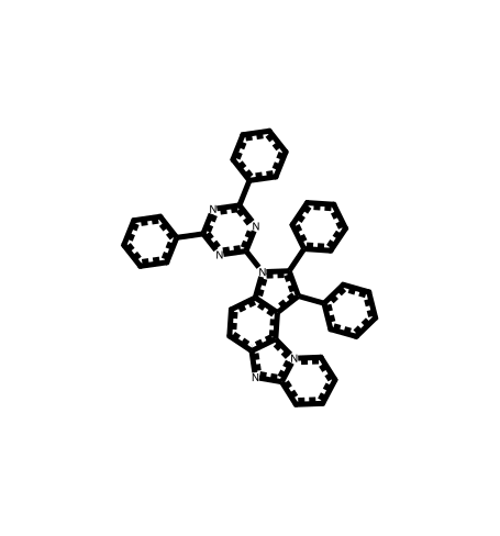 c1ccc(-c2nc(-c3ccccc3)nc(-n3c(-c4ccccc4)c(-c4ccccc4)c4c3ccc3nc5ccccn5c34)n2)cc1